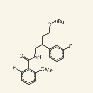 CCCCOCCC(CNC(=O)c1c(F)cccc1OC)c1cccc(F)c1